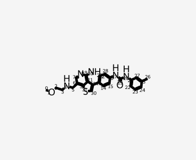 COCCNCc1cnc(N)c2c(-c3ccc(NC(=O)Nc4cccc(C)c4)cc3)csc12